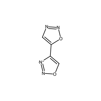 C1=C(c2cnno2)[N+]=NO1